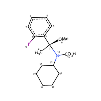 CO[C@@](C)(c1ccccc1I)N(C(=O)O)C1CCCCC1